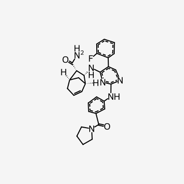 NC(=O)[C@H]1[C@@H]2CC=C[C@@H](C2)[C@H]1Nc1nc(Nc2cccc(C(=O)N3CCCC3)c2)ncc1-c1ccccc1F